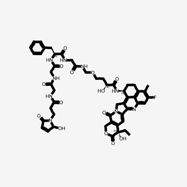 CC[C@@]1(O)C(=O)OCc2c1cc1n(c2=O)Cc2c-1nc1cc(F)c(C)c3c1c2[C@@H](NC(=O)[C@H](O)CCOCNC(=O)CNC(=O)[C@H](Cc1ccccc1)NC(=O)CNC(=O)CNC(=O)CCN1C(=O)C=CC1O)CC3